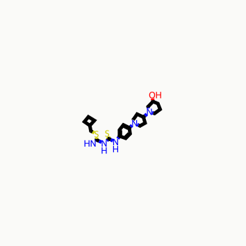 N=C(NC(=S)Nc1ccc(N2CCC(N3CCCC(O)C3)CC2)cc1)SCC1CCC1